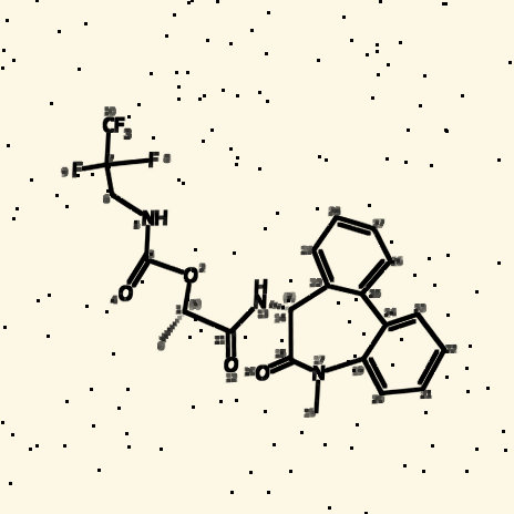 C[C@H](OC(=O)NCC(F)(F)C(F)(F)F)C(=O)N[C@H]1C(=O)N(C)c2ccccc2-c2ccccc21